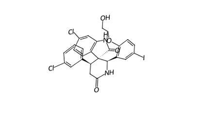 O=C1C[C@@H](c2cccc(Cl)c2)[C@]2(C(=O)Nc3cc(Cl)ccc32)[C@@H](c2cc(I)ccc2OCCO)N1